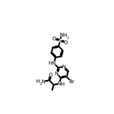 CC(Nc1nc(Nc2ccc(S(N)(=O)=O)cc2)ncc1Br)C(N)=O